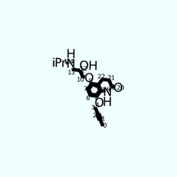 CC#CCOc1ccc(OCC(O)CNC(C)C)c2c1NC(=O)CC2